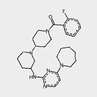 O=C(c1ccccc1F)N1CCC(N2CCCC(Nc3nccc(N4CCCCCC4)n3)C2)CC1